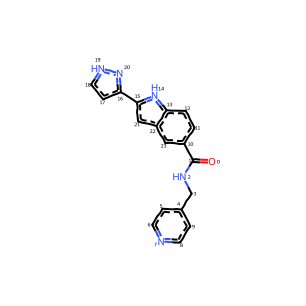 O=C(NCc1ccncc1)c1ccc2[nH]c(-c3cc[nH]n3)cc2c1